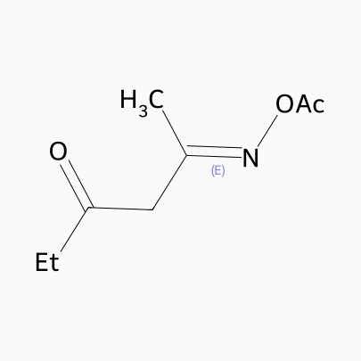 CCC(=O)C/C(C)=N/OC(C)=O